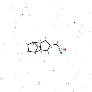 OCC1CC2C3CCC(C3)C2C1